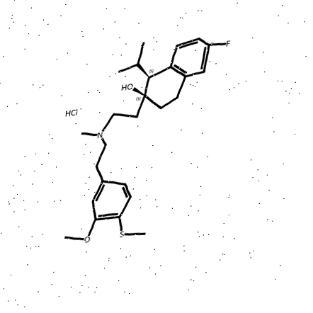 COc1cc(CCN(C)CC[C@@]2(O)CCc3cc(F)ccc3[C@@H]2C(C)C)ccc1SC.Cl